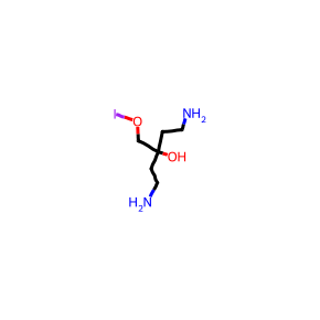 NCCC(O)(CCN)COI